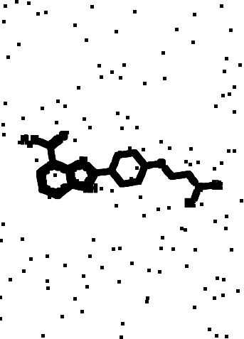 CCN(CC)CCOC1CCC(c2nc3c(C(N)=O)cccc3[nH]2)CC1